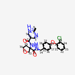 C=C/N=C\C(=C/N)C(=O)NC1(C(=O)NCc2ccc(Oc3ccccc3Cl)cc2)CCOC1